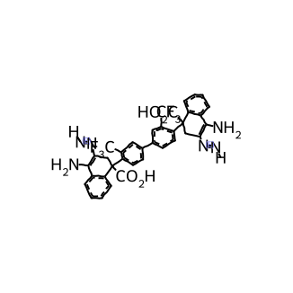 [H]/N=N/C1=C(N)c2ccccc2C(C(=O)O)(c2ccc(-c3ccc(C4(C(=O)O)CC(/N=N/[H])=C(N)c5ccccc54)c(C(F)(F)F)c3)cc2C(F)(F)F)C1